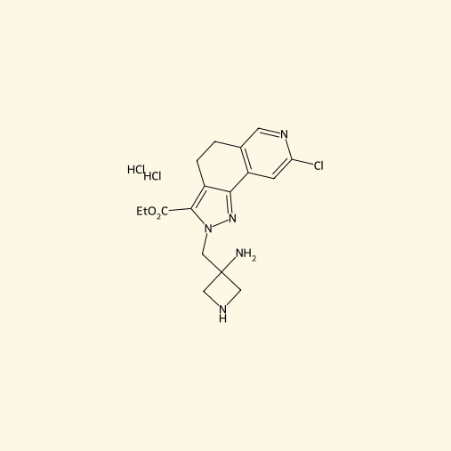 CCOC(=O)c1c2c(nn1CC1(N)CNC1)-c1cc(Cl)ncc1CC2.Cl.Cl